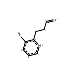 O=CCCc1ncccc1F